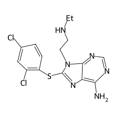 CCNCCn1c(Sc2ccc(Cl)cc2Cl)nc2c(N)ncnc21